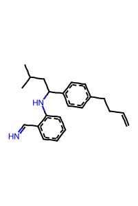 C=CCCc1ccc(C(CC(C)C)Nc2ccccc2C=N)cc1